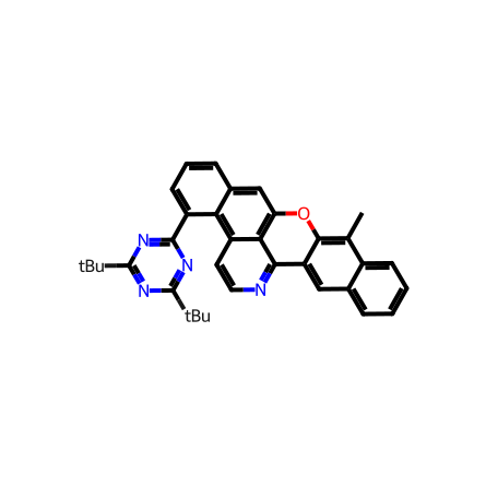 Cc1c2c(cc3ccccc13)-c1nccc3c1c(cc1cccc(-c4nc(C(C)(C)C)nc(C(C)(C)C)n4)c13)O2